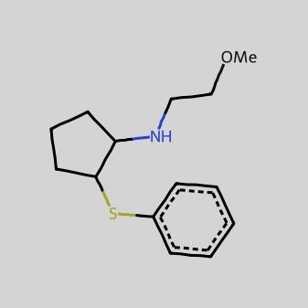 COCCNC1CCCC1Sc1ccccc1